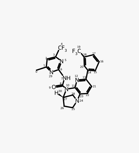 Cc1cc(C(F)(F)F)nc(NC(=O)N2c3nc(-c4cccc(C(F)(F)F)c4)ccc3N3CC[C@H]2C3)n1